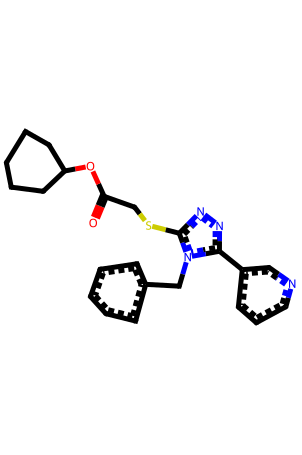 O=C(CSc1nnc(-c2cccnc2)n1Cc1ccccc1)OC1CCCCC1